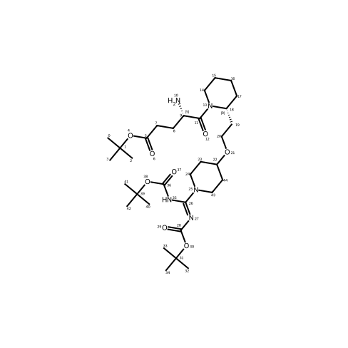 CC(C)(C)OC(=O)CC[C@H](N)C(=O)N1CCCC[C@@H]1CCOC1CCN(C(=NC(=O)OC(C)(C)C)NC(=O)OC(C)(C)C)CC1